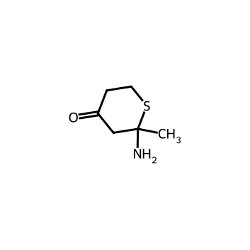 CC1(N)CC(=O)CCS1